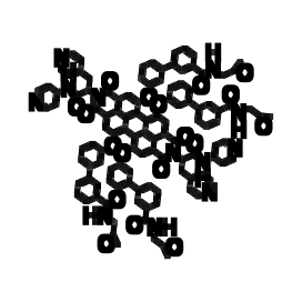 O=C(NCC1CO1)c1cccc(-c2cccc(Oc3cc4c5c(cc(Oc6cccc(-c7cccc(C(=O)NCC8CO8)c7)c6)c6c7c(Oc8cccc(-c9cccc(C(=O)NCC%10CO%10)c9)c8)cc8c9c(cc(Oc%10cccc(-c%11cccc(C(=O)NCC%12CO%12)c%11)c%10)c(c3c56)c97)C(=O)N(C(Cc3ccncc3)C(=O)Nc3ccncc3)C8=O)C(=O)N(C(Cc3ccncc3)C(=O)Nc3ccncc3)C4=O)c2)c1